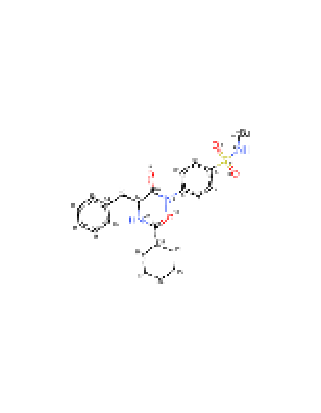 CC(C)(C)NS(=O)(=O)c1ccc(NC(=O)[C@H](Cc2ccccc2)NC(=O)C2CCCCC2)cc1